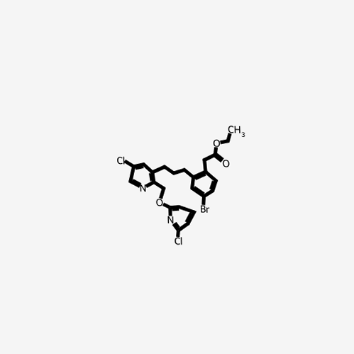 CCOC(=O)Cc1ccc(Br)cc1CCCc1cc(Cl)cnc1COc1cccc(Cl)n1